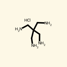 Cl.NCC(CN)(CN)CN